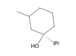 CC1CCC[C@](O)(C(C)C)C1